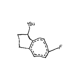 CC(C)(C)C1CCc2ccc(F)cc21